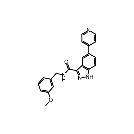 COc1cccc(CNC(=O)c2n[nH]c3ccc(-c4ccncc4)cc23)c1